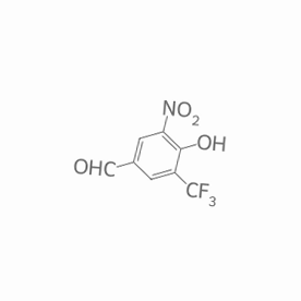 O=Cc1cc([N+](=O)[O-])c(O)c(C(F)(F)F)c1